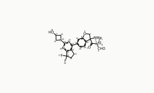 CNC1(C(=O)N(C)C=O)COc2cc(-c3nc(N4CC(O)C4)nc4c3CCC4(F)F)ccc21